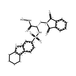 O=C(NO)[C@H](CN1C(=O)c2ccccc2C1=O)NS(=O)(=O)c1ccc2c3c(oc2c1)CCCC3